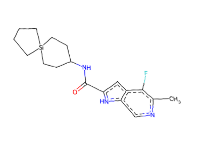 Cc1ncc2[nH]c(C(=O)NC3CC[Si]4(CCCC4)CC3)cc2c1F